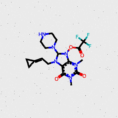 Cn1c2c(c(=O)n(C)c1=O)N(CC=C1CC1)C(N1CCNCC1)N2OC(=O)C(F)(F)F